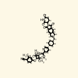 Cc1cc(O[C@H]2C(C)(C)[C@H](NC(=O)c3ccc([C@H]4CC[C@H](CN5Cc6cc7c(cc6C5)C(=O)N(C5CCC(=O)NC5=O)C7=O)CC4)cn3)C2(C)C)ccc1C#N